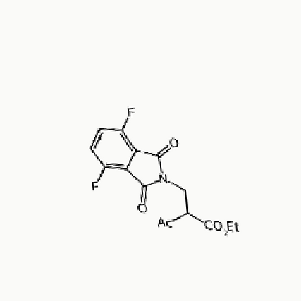 CCOC(=O)C(CN1C(=O)c2c(F)ccc(F)c2C1=O)C(C)=O